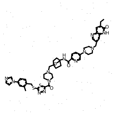 CCc1cc2ncc(CN3CCN(c4ccc(C(=O)NC56CCC(CN7CCN(C(=O)c8nnc(SCc9ccc(-n%10ccnc%10)cc9C)s8)CC7)(CC5)OC6)nc4)CC3)cc2[nH]c1=O